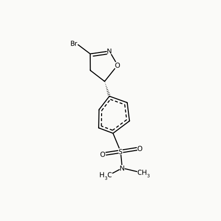 CN(C)S(=O)(=O)c1ccc([C@@H]2CC(Br)=NO2)cc1